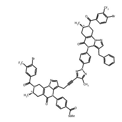 CNC(=O)c1ccc(-n2c(=O)c3c(n4ncc(CC#Cc5nn(-c6ccc(-n7c(=O)c8c(n9ncc(Cc%10ccccc%10)c79)CN(C(=O)c7ccc(Br)c(C(F)(F)F)c7)[C@H](C)C8)cc6)nc5C)c24)CN(C(=O)c2ccc(Br)c(C(F)(F)F)c2)[C@H](C)C3)cc1